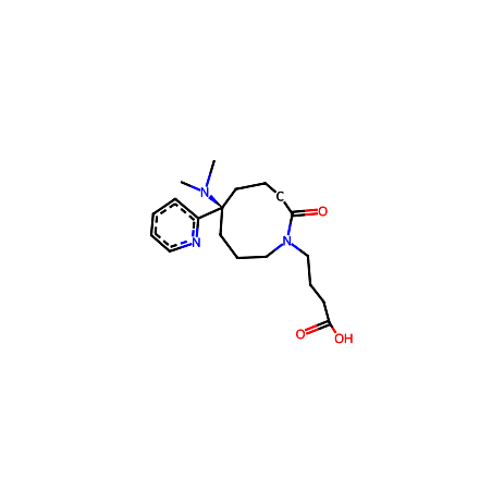 CN(C)[C@@]1(c2ccccn2)CCCC(=O)N(CCCC(=O)O)CCC1